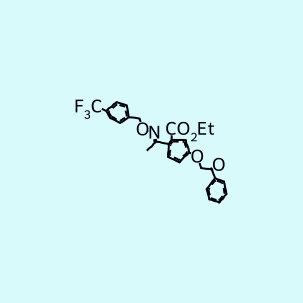 CCOC(=O)c1cc(OCC(=O)c2ccccc2)ccc1C(C)=NOCc1ccc(C(F)(F)F)cc1